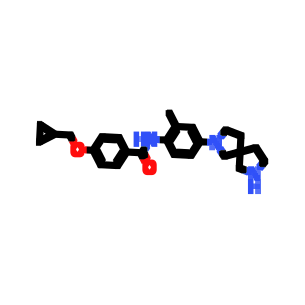 Cc1cc(N2CCC3(CCNC3)C2)ccc1NC(=O)c1ccc(OCC2CC2)cc1